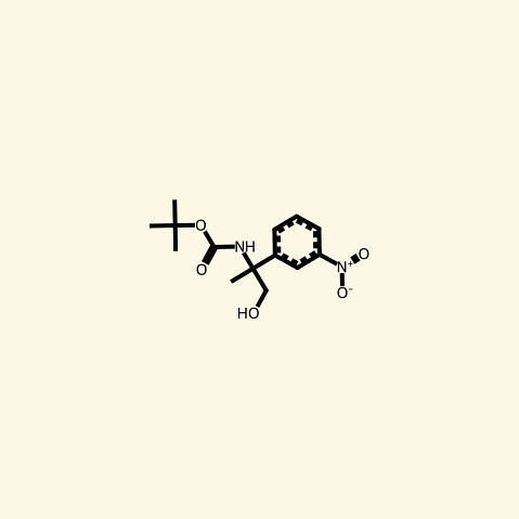 CC(C)(C)OC(=O)NC(C)(CO)c1cccc([N+](=O)[O-])c1